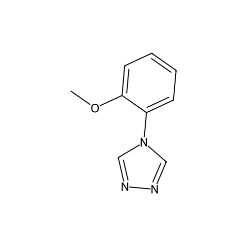 COc1ccccc1-n1cnnc1